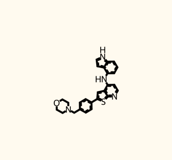 c1cc(Nc2ccnc3sc(-c4ccc(CN5CCOCC5)cc4)cc23)c2cc[nH]c2c1